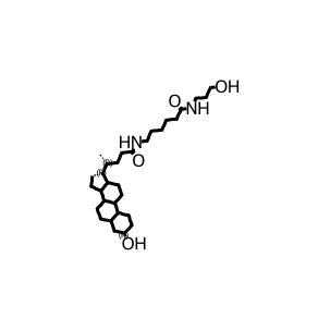 C[C@H](CCC(=O)NCCCCCC(=O)NCCCO)[C@H]1CCC2C3CCC4C[C@H](O)CCC4C3CCC21